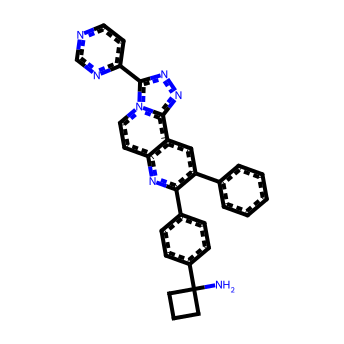 NC1(c2ccc(-c3nc4ccn5c(-c6ccncn6)nnc5c4cc3-c3ccccc3)cc2)CCC1